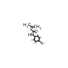 CN(C)CC(=O)Nc1ccc(I)cc1